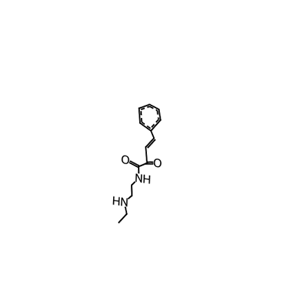 CCNCCNC(=O)C(=O)/C=C/c1ccccc1